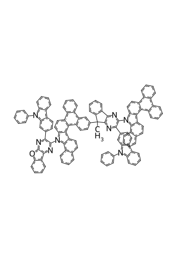 CC1(c2ccc3c(c2)c2ccccc2c2ccc4c(c5ccc6ccccc6c5n4-c4nc5c(nc4-c4ccc6c7ccccc7n(-c7ccccc7)c6c4)oc4ccccc45)c23)c2ccccc2-c2nc(-n3c4ccc5c6ccccc6c6ccccc6c5c4c4ccc5ccccc5c43)c(-c3ccc4c5ccccc5n(-c5ccccc5)c4c3)nc21